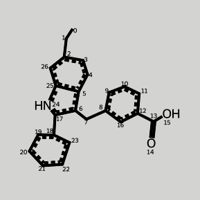 CCc1ccc2c(Cc3cccc(C(=O)O)c3)c(-c3ccccc3)[nH]c2c1